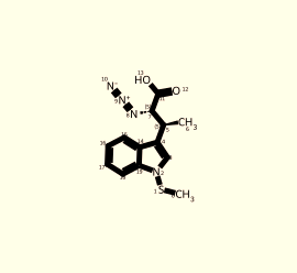 CSn1cc([C@H](C)[C@H](N=[N+]=[N-])C(=O)O)c2ccccc21